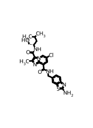 Cc1nc2c(C(=O)NCc3ccc4nc(N)sc4c3)cc(Cl)cn2c1C(=O)N[C@H](CO)CC(C)C